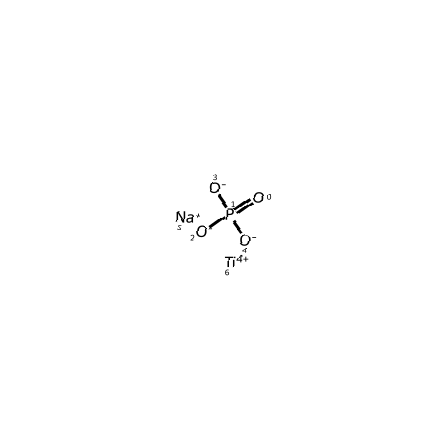 O=P([O-])([O-])[O-].[Na+].[Ti+4]